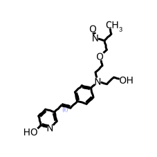 CCC(COCCN(CCO)c1ccc(/C=C/c2ccc(O)nc2)cc1)N=O